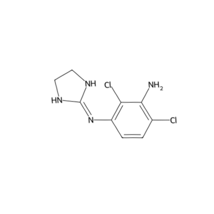 Nc1c(Cl)ccc(N=C2NCCN2)c1Cl